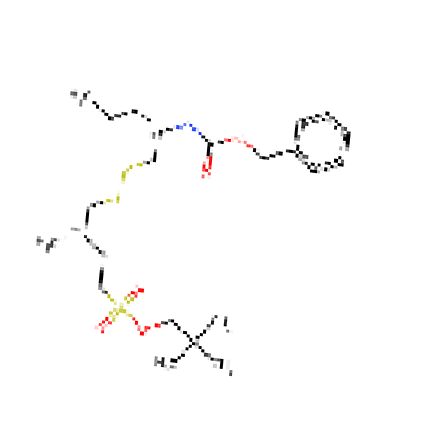 CCC[C@@H](CSSC[C@@H](C)CCS(=O)(=O)OCC(C)(C)C)NC(=O)OCc1ccccc1